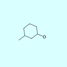 CC1CCCC([O])C1